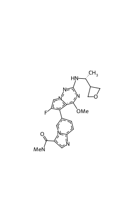 CNC(=O)c1cnc2ccc(-c3c(F)cn4nc(N[C@H](C)C5COC5)nc(OC)c34)cn12